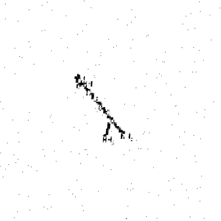 CC(C)(C)OC(=O)NCCOCCOCCOCCOCCN(CCCCCN)CCCCCN